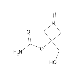 C=C1CC(CO)(OC(N)=O)C1